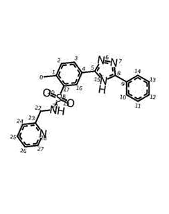 Cc1ccc(-c2nnc(-c3ccccc3)[nH]2)cc1S(=O)(=O)NCc1ccccn1